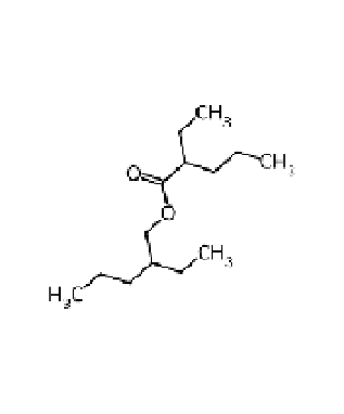 CCCC(CC)COC(=O)C(CC)CCC